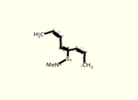 C\C=C/C=C(\C=C/C)SNC